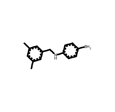 Bc1ccc(NCc2cc(C)cc(C)c2)cc1